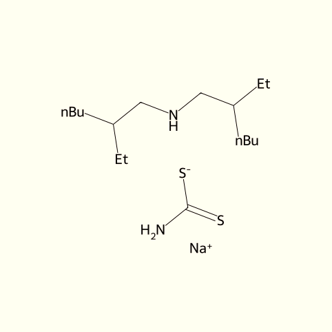 CCCCC(CC)CNCC(CC)CCCC.NC(=S)[S-].[Na+]